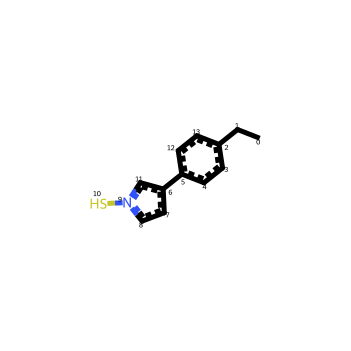 CCc1ccc(-c2ccn(S)c2)cc1